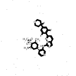 C[C@H]1C[C@@H](c2ccncc2Nc2ncc3ccc(-c4c(F)cc(C5(F)CCOCC5)cc4F)nn23)C[C@@H](N)[C@@H]1S(C)(=O)=O